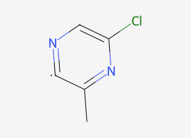 Cc1[c]ncc(Cl)n1